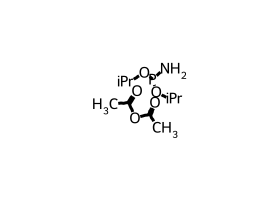 CC(=O)OC(C)=O.CC(C)OP(N)OC(C)C